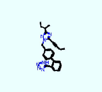 CCC#Cc1nc(C(C)CC)nn1Cc1ccc(-c2ccccc2-c2nnn[nH]2)cc1